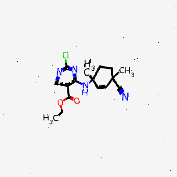 CCOC(=O)c1cnc(Cl)nc1NC1(C)C=CC(C)(C#N)CC1